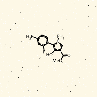 COC(=O)c1cn(P)c(-c2ccc(P)cc2F)c1O